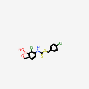 OB1OCc2ccc(NC(=S)SCc3ccc(Cl)cc3)c(Cl)c21